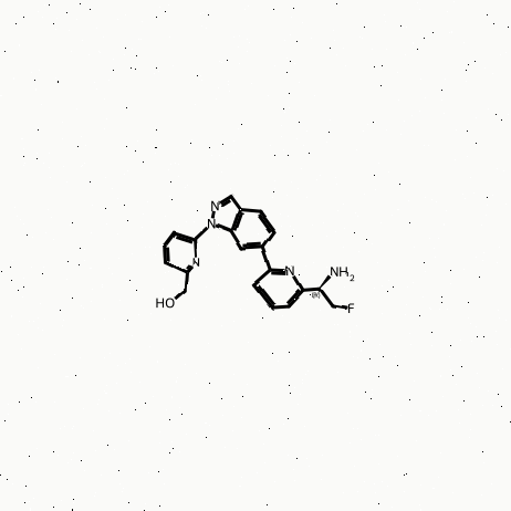 N[C@@H](CF)c1cccc(-c2ccc3cnn(-c4cccc(CO)n4)c3c2)n1